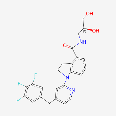 O=C(NC[C@H](O)CO)c1cccc2c1CCN2c1cc(Cc2cc(F)c(F)c(F)c2)ccn1